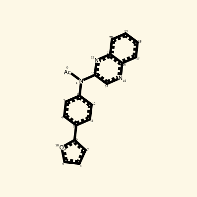 CC(=O)N(c1ccc(-c2ccco2)cc1)c1cnc2ccccc2n1